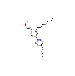 CCCCCCCCc1cc(-c2ncc(CCCC)cn2)ccc1C=CC(=O)O